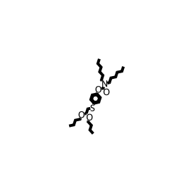 CCCCCCN(CCCCCC)C(=O)Oc1ccc(SCC(OCCCC)OCCCC)cc1